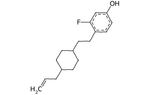 C=CCC1CCC(CCc2ccc(O)cc2F)CC1